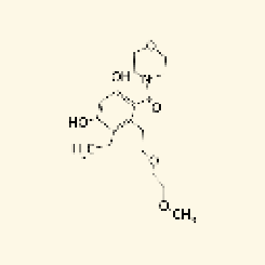 CCc1c(O)cc(O)c(C(=O)N2CCOCC2)c1CCOCCOC